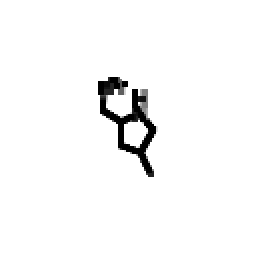 CCCCC1CC(C)CN1